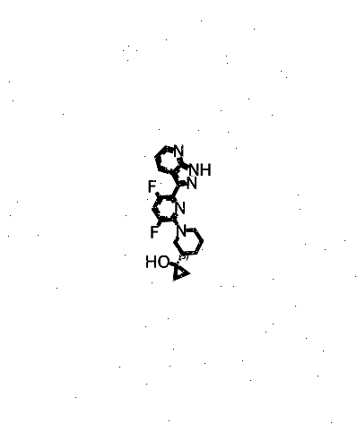 OC1([C@H]2CCCN(c3nc(-c4n[nH]c5ncccc45)c(F)cc3F)C2)CC1